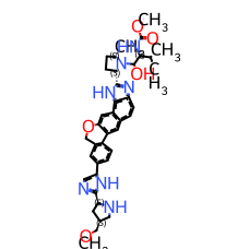 COC[C@@H]1CN[C@H](c2ncc(-c3ccc4c(c3)COc3cc5c(ccc6nc([C@@H]7CC[C@H](C)N7C(O)[C@@H](NC(=O)OC)C(C)C)[nH]c65)cc3-4)[nH]2)C1